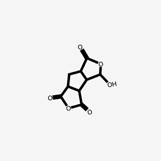 O=C1OC(=O)C2C1CC1C(=O)OC(O)C12